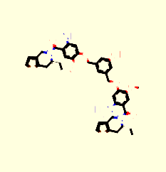 CC[C@@H]1Cc2sccc2CN1C(=O)c1cc(OC)c(OCc2cc(O)cc(COc3cc(N)c(C(=O)N4Cc5ccsc5C[C@@H]4CC)cc3OC)c2)cc1N